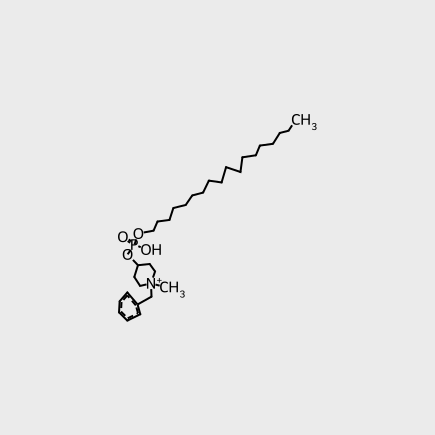 CCCCCCCCCCCCCCCCCCOP(=O)(O)OC1CC[N+](C)(Cc2ccccc2)CC1